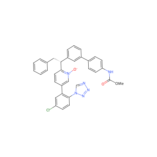 COC(=O)Nc1ccc(-c2cccc([C@@H](Cc3ccccc3)c3ccc(-c4cc(Cl)ccc4-n4cnnn4)c[n+]3[O-])c2)cc1